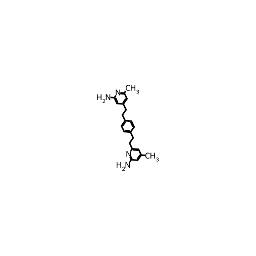 Cc1cc(N)nc(CCc2ccc(CCc3cc(C)nc(N)c3)cc2)c1